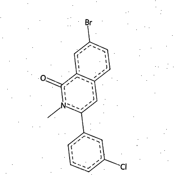 Cn1c(-c2cccc(Cl)c2)cc2ccc(Br)cc2c1=O